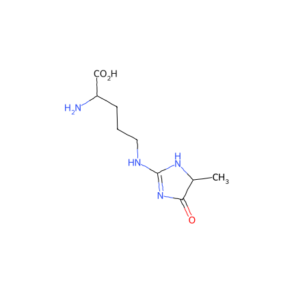 CC1NC(NCCCC(N)C(=O)O)=NC1=O